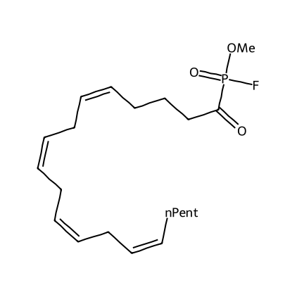 CCCCC/C=C\C/C=C\C/C=C\C/C=C\CCCC(=O)P(=O)(F)OC